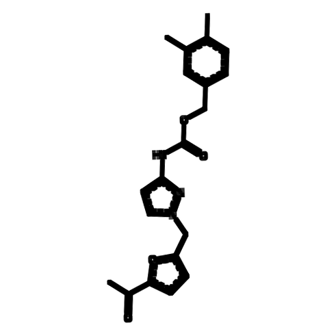 CC(=O)c1ccc(Cn2ccc(NC(=O)OCc3ccc(C)c(C)c3)n2)o1